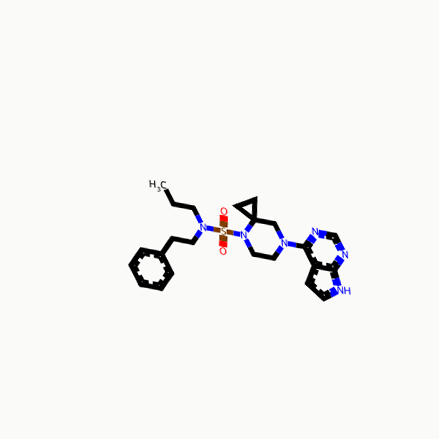 CCCN(CCc1ccccc1)S(=O)(=O)N1CCN(c2ncnc3[nH]ccc23)CC12CC2